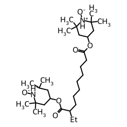 CCC(CCCCCCCC(=O)OC1CC(C)(C)[NH+]([O-])C(C)(C)C1)C(=O)OC1CC(C)(C)[NH+]([O-])C(C)(C)C1